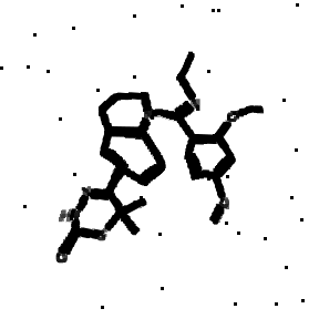 CC/N=C(/c1ccc(OC)cc1OC)N1CCCc2cc(C3=NNC(=O)SC3(C)C)ccc21